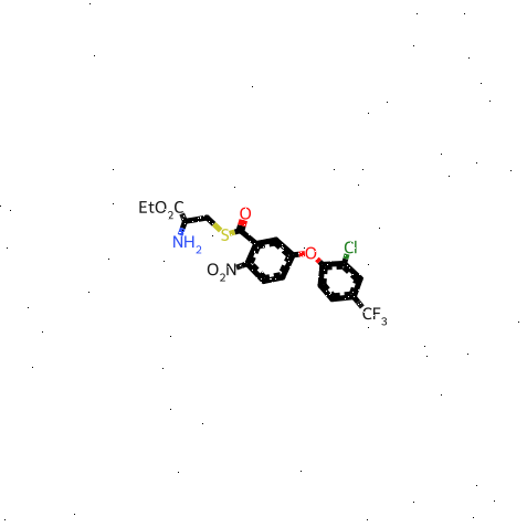 CCOC(=O)C(N)CSC(=O)c1cc(Oc2ccc(C(F)(F)F)cc2Cl)ccc1[N+](=O)[O-]